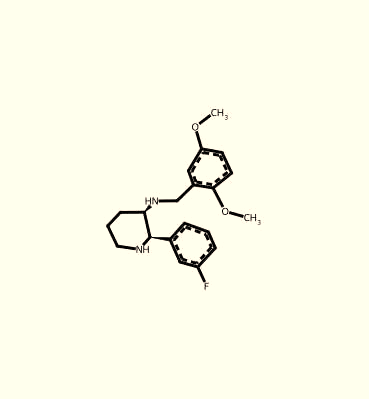 COc1ccc(OC)c(CN[C@@H]2CCCN[C@@H]2c2cccc(F)c2)c1